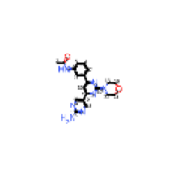 CC(=O)Nc1cccc(-c2cc(-c3cnc(N)nc3)nc(N3CCOCC3)n2)c1